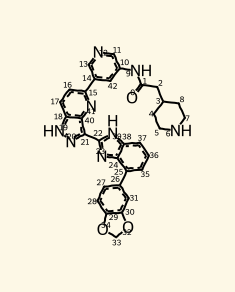 O=C(CC1CCNCC1)Nc1cncc(-c2ccc3[nH]nc(-c4nc5c(-c6ccc7c(c6)OCO7)cccc5[nH]4)c3n2)c1